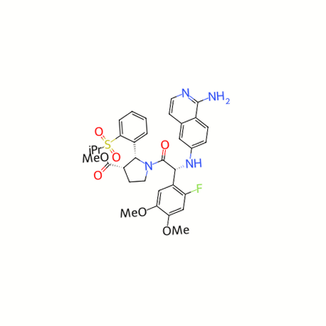 COC(=O)[C@H]1CCN(C(=O)[C@H](Nc2ccc3c(N)nccc3c2)c2cc(OC)c(OC)cc2F)[C@H]1c1ccccc1S(=O)(=O)C(C)C